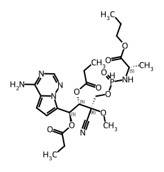 CCCOC(=O)[C@H](C)N[PH](=O)OC[C@@](C#N)(OC)[C@@H](OC(=O)CC)[C@@H](OC(=O)CC)c1ccc2c(N)ncnn12